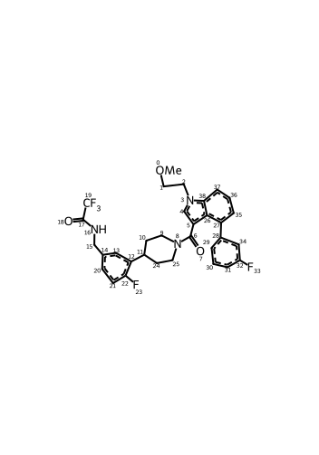 COCCn1cc(C(=O)N2CCC(c3cc(CNC(=O)C(F)(F)F)ccc3F)CC2)c2c(-c3cccc(F)c3)cccc21